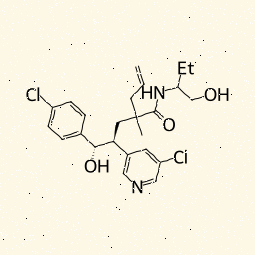 C=CCC(C)(C[C@@H](c1cncc(Cl)c1)[C@H](O)c1ccc(Cl)cc1)C(=O)NC(CC)CO